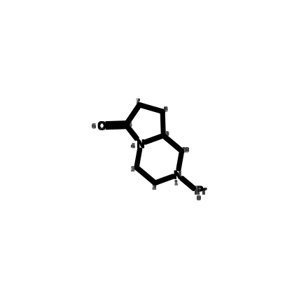 CC(C)N1CCN2C(=O)CCC2C1